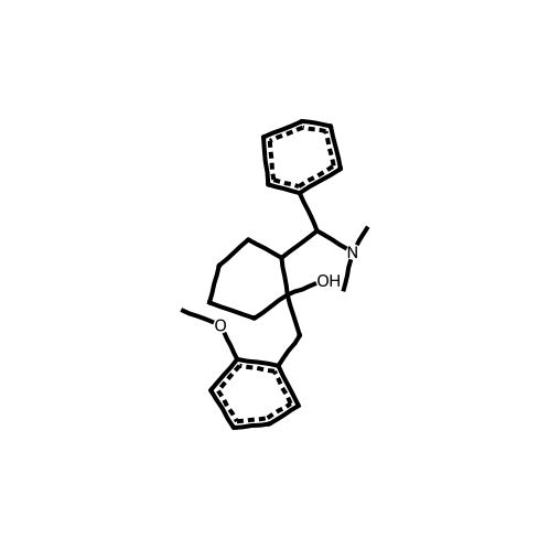 COc1ccccc1CC1(O)CCCCC1C(c1ccccc1)N(C)C